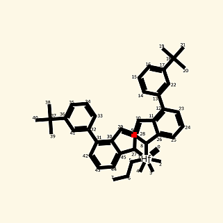 [CH2]=[Hf]([CH3])([CH3])([CH3])([CH2]CC)([CH]1C=Cc2c(-c3cccc(C(C)(C)C)c3)cccc21)[CH]1C=Cc2c(-c3cccc(C(C)(C)C)c3)cccc21